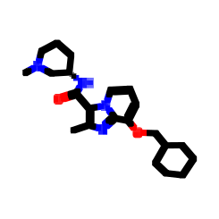 Cc1nc2c(OCC3CCCCC3)cccn2c1C(=O)N[C@H]1CCCN(C)C1